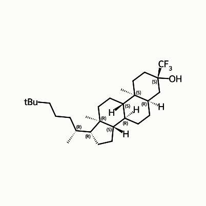 C[C@H](CCCC(C)(C)C)[C@H]1CC[C@H]2[C@@H]3CC[C@@H]4C[C@](O)(C(F)(F)F)CC[C@]4(C)[C@H]3CC[C@]12C